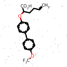 C=CCCC(Oc1ccc(-c2ccc(OC(F)(F)F)cc2)cc1)C(=O)O